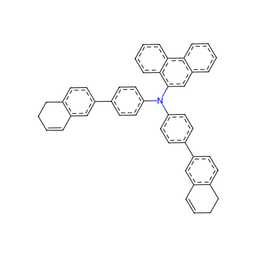 C1=Cc2cc(-c3ccc(N(c4ccc(-c5ccc6c(c5)C=CCC6)cc4)c4cc5ccccc5c5ccccc45)cc3)ccc2CC1